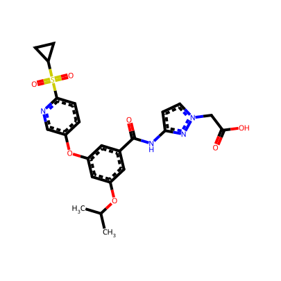 CC(C)Oc1cc(Oc2ccc(S(=O)(=O)C3CC3)nc2)cc(C(=O)Nc2ccn(CC(=O)O)n2)c1